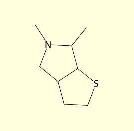 CC1C2SCCC2CN1C